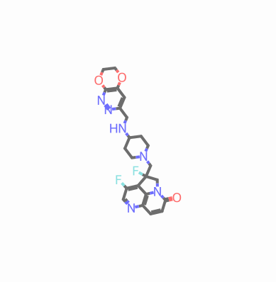 O=c1ccc2ncc(F)c3c2n1CC3(F)CN1CCC(NCc2cc3c(nn2)OCCO3)CC1